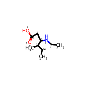 CCNC(CC(=O)O)C(C)CC